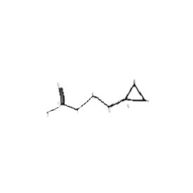 C=C(C)CCCC1CC1